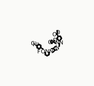 [C-]#[N+]c1ccc(COc2cccc(N3CC4=C(CN(Cc5nc6ccc(C(=O)OC)cc6n5CC5(OC)COC5)C4)C3)n2)c(F)c1